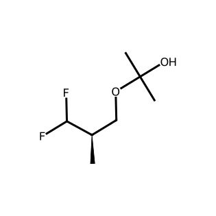 C[C@H](COC(C)(C)O)C(F)F